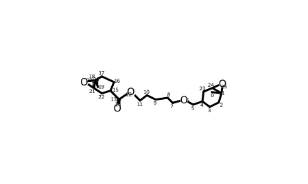 CC12CCC(COCCCCCOC(=O)C3CCC4(C)O[C@H]4C3)CC1O2